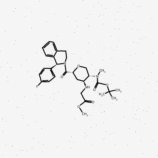 COC(=O)CN[C@H]1C[C@H](C(=O)N2CCc3ccccc3[C@@H]2c2ccc(F)cc2)OC[C@@H]1N(C)C(=O)OC(C)(C)C